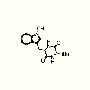 CC[C@@H](C)[C@H]1NC(=O)[C@@H](Cc2cn(C)c3ccccc23)NC1=O